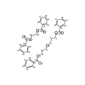 O=C(OCCCOCCCOC(=O)c1ccccc1)c1ccccc1.O=C(OCCOC(=O)c1ccccc1)c1ccccc1